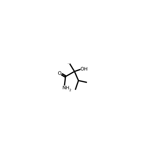 [CH2]C(O)(C(N)=O)C(C)C